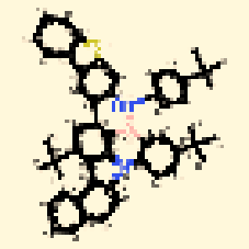 CC(C)(C)c1ccc(Nc2cc3sc4ccccc4c3cc2-c2cc(C(C)(C)C)c3c4c5ccccc5ccc4n4c3c2Bc2cc(C(C)(C)C)ccc2-4)cc1